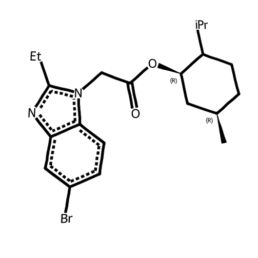 CCc1nc2cc(Br)ccc2n1CC(=O)O[C@@H]1C[C@H](C)CCC1C(C)C